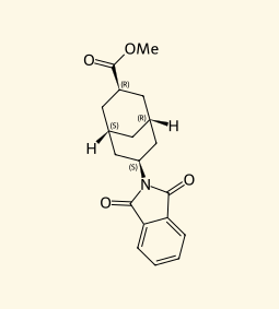 COC(=O)[C@H]1C[C@H]2C[C@@H](C1)C[C@H](N1C(=O)c3ccccc3C1=O)C2